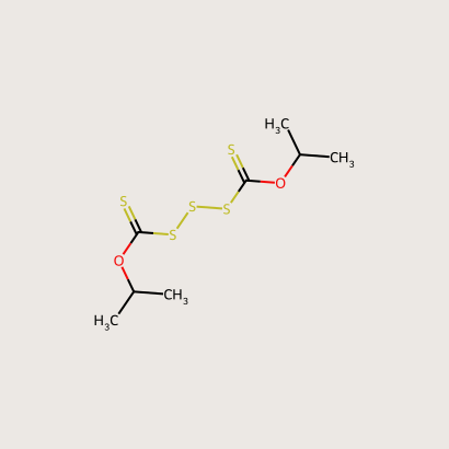 CC(C)OC(=S)SSSC(=S)OC(C)C